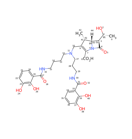 C[C@@H](O)[C@H]1C(=O)N2C(C(=O)O)=C(CN(CCCCNC(=O)c3cccc(O)c3O)CCCNC(=O)c3cccc(O)c3O)[C@H](C)[C@H]12